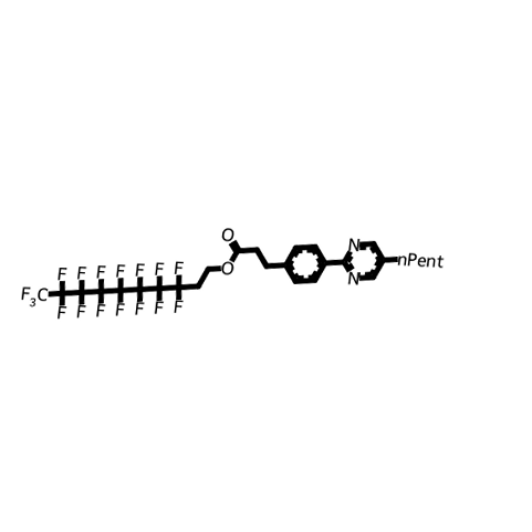 CCCCCc1cnc(-c2ccc(CCC(=O)OCCC(F)(F)C(F)(F)C(F)(F)C(F)(F)C(F)(F)C(F)(F)C(F)(F)C(F)(F)F)cc2)nc1